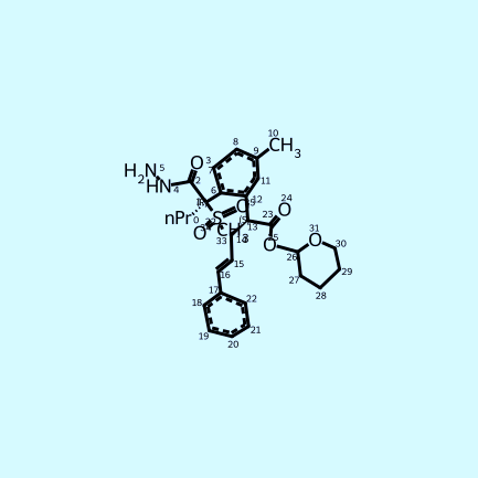 CCC[C@](C(=O)NN)(c1ccc(C)cc1[C@H](CC=Cc1ccccc1)C(=O)OC1CCCCO1)S(C)(=O)=O